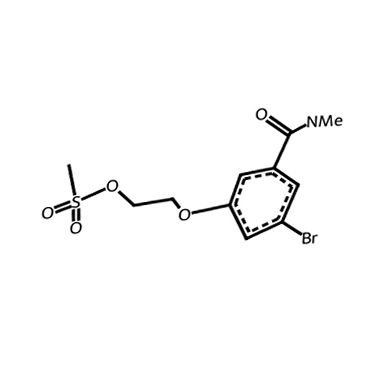 CNC(=O)c1cc(Br)cc(OCCOS(C)(=O)=O)c1